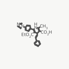 CCOC(=O)C1=C(c2ccc(-n3ccnc3)cc2)NC(C)=C(C(=O)O)C1C=Cc1ccccc1